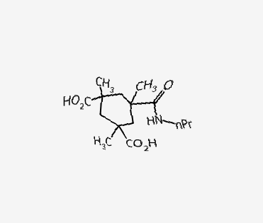 CCCNC(=O)C1(C)CC(C)(C(=O)O)CC(C)(C(=O)O)C1